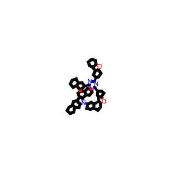 c1ccc2cc(-c3nc(-c4ccc5oc6ccccc6c5c4)nc(-c4ccc5oc6ccc7ccc(-n8c9cc%10ccccc%10cc9c9ccc%10ccccc%10c98)cc7c6c5c4)n3)ccc2c1